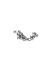 Nc1ccn([C@@H]2C[C@H](CCc3ccc4ccc(NCC(F)F)nc4c3)[C@@H](O)[C@H]2O)c2ncnc1-2